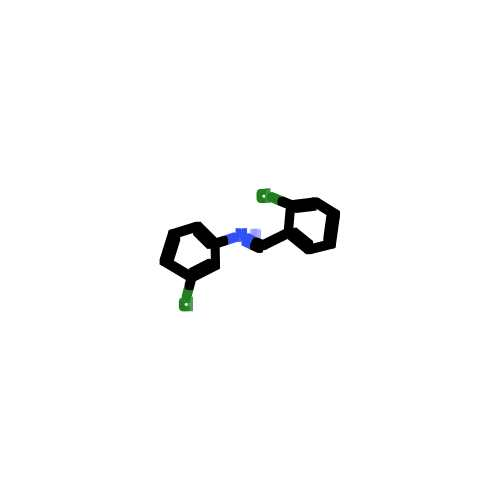 Clc1cccc(/N=C/c2ccccc2Cl)c1